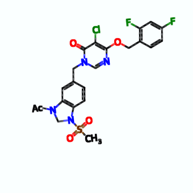 CC(=O)N1CN(S(C)(=O)=O)c2ccc(Cn3cnc(OCc4ccc(F)cc4F)c(Cl)c3=O)cc21